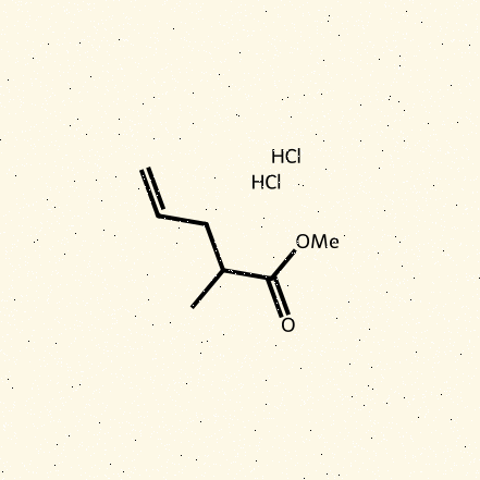 C=CCC(C)C(=O)OC.Cl.Cl